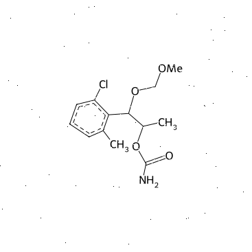 COCOC(c1c(C)cccc1Cl)C(C)OC(N)=O